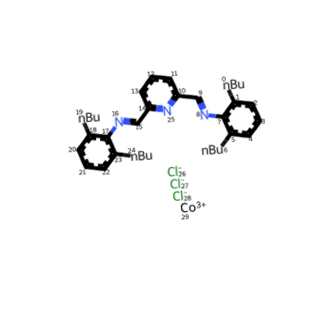 CCCCc1cccc(CCCC)c1N=Cc1cccc(C=Nc2c(CCCC)cccc2CCCC)n1.[Cl-].[Cl-].[Cl-].[Co+3]